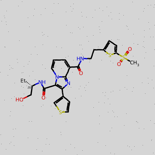 CC[C@@H](CO)NC(=O)c1c(-c2ccsc2)nc2c(C(=O)NCCc3ccc(S(C)(=O)=O)s3)cccn12